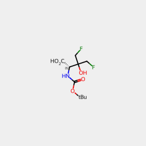 CC(C)(C)OC(=O)N[C@H](C(=O)O)C(O)(CF)CF